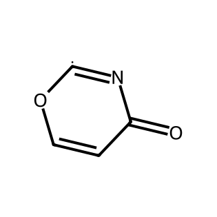 O=c1cco[c]n1